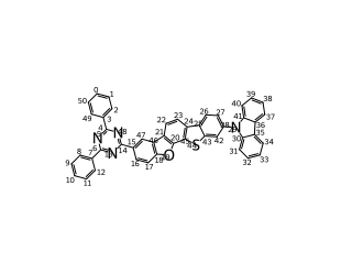 c1ccc(-c2nc(-c3ccccc3)nc(-c3ccc4oc5c(ccc6c7ccc(-n8c9ccccc9c9ccccc98)cc7sc65)c4c3)n2)cc1